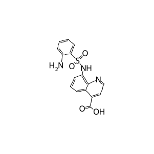 Nc1ccccc1S(=O)(=O)Nc1cccc2c(C(=O)O)ccnc12